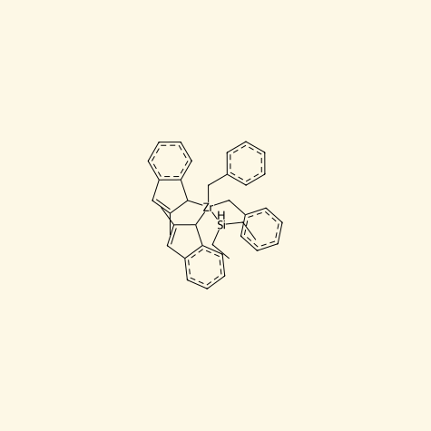 CC[SiH](CC)[Zr]([CH2]c1ccccc1)([CH2]c1ccccc1)([CH]1C(C)=Cc2ccccc21)[CH]1C(C)=Cc2ccccc21